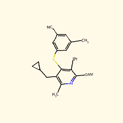 COc1nc(C)c(CC2CC2)c(Sc2cc(C)cc(C#N)c2)c1C(C)C